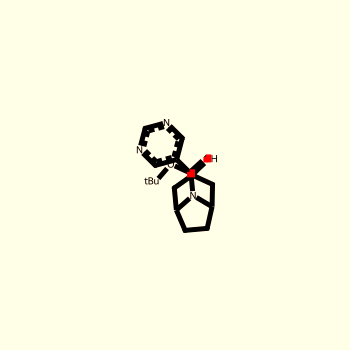 CC(C)(C)OC(=O)N1C2CCC1CC(O)(c1cncnc1)C2